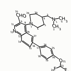 CN(C)CC1CCN(c2c(C=O)cnc3ccc(-c4ccc(OC(F)F)cc4)cc23)CC1